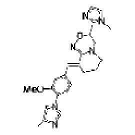 COc1cc(/C=C2\CCCN3CC(c4nccn4C)ON=C23)ccc1-n1cnc(C)c1